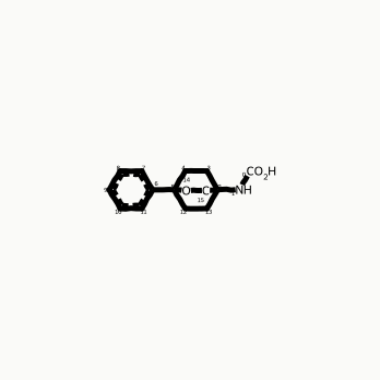 O=C(O)NC12CCC(c3ccccc3)(CC1)OC2